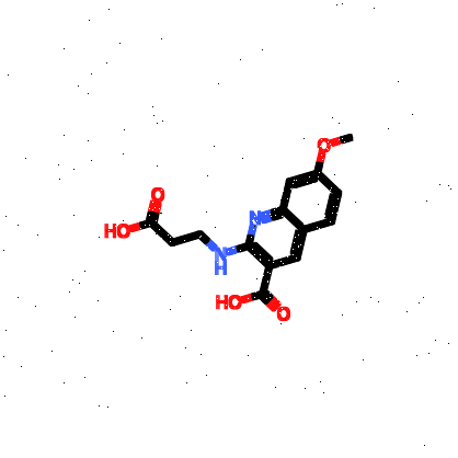 COc1ccc2cc(C(=O)O)c(NCCC(=O)O)nc2c1